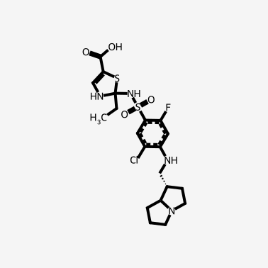 CCC1(NS(=O)(=O)c2cc(Cl)c(NC[C@@H]3CCN4CCCC34)cc2F)NC=C(C(=O)O)S1